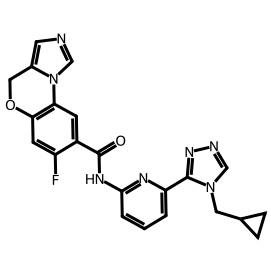 O=C(Nc1cccc(-c2nncn2CC2CC2)n1)c1cc2c(cc1F)OCc1cncn1-2